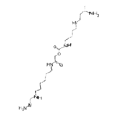 C[C@H](N)CCNCCCCNC(=O)OCC(=O)NCCCCCCNC=NN